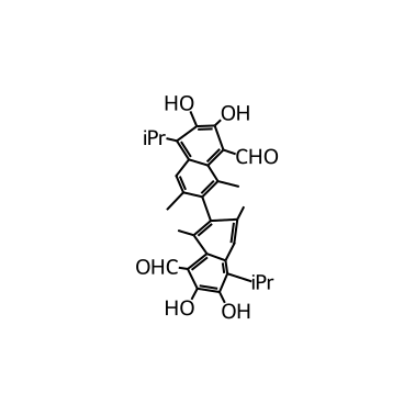 Cc1cc2c(C(C)C)c(O)c(O)c(C=O)c2c(C)c1-c1c(C)cc2c(C(C)C)c(O)c(O)c(C=O)c2c1C